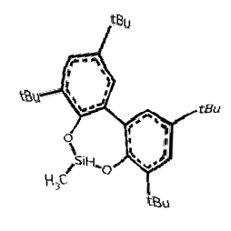 C[SiH]1Oc2c(cc(C(C)(C)C)cc2C(C)(C)C)-c2cc(C(C)(C)C)cc(C(C)(C)C)c2O1